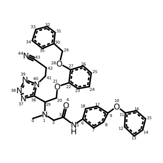 CN(CC(=O)Nc1ccc(Oc2ccccc2)cc1)C(COc1ccccc1OCc1ccccc1)c1nnnn1CCC#N